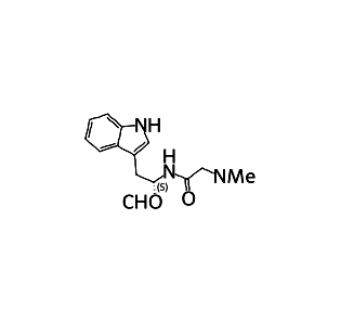 CNCC(=O)N[C@H](C=O)Cc1c[nH]c2ccccc12